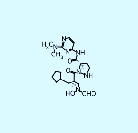 CN(C)c1nccc(NC(=O)[C@@H]2CCNN2C(=O)[C@H](CC2CCCC2)CN(O)C=O)n1